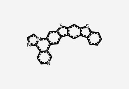 c1ccc2c(c1)sc1cc3sc4cc5c(cc4c3cc12)c1cnccc1c1nccn51